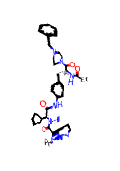 CCC(=O)N[C@H](Cc1ccc(NC(=O)[C@@H](NC(=O)c2ccnn2C(C)C)C2CCCC2)cc1)C(=O)N1CCN(Cc2ccccc2)CC1